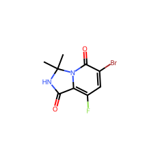 CC1(C)NC(=O)c2c(F)cc(Br)c(=O)n21